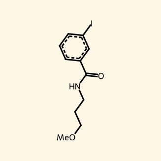 COCCCNC(=O)c1cccc(I)c1